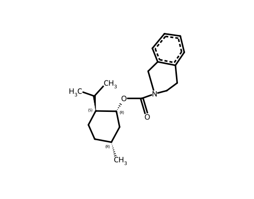 CC(C)[C@@H]1CC[C@@H](C)C[C@H]1OC(=O)N1CCc2ccccc2C1